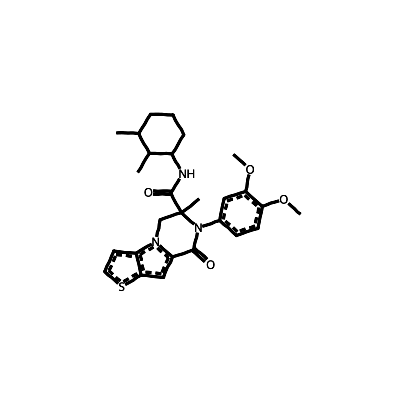 COc1ccc(N2C(=O)c3cc4sccc4n3CC2(C)C(=O)NC2CCCC(C)C2C)cc1OC